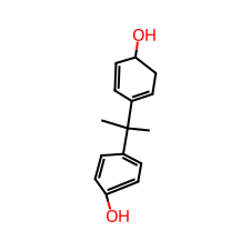 CC(C)(C1=CCC(O)C=C1)c1ccc(O)cc1